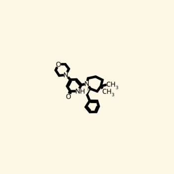 CC1(C)CCCN(c2cc(N3CCOCC3)cc(=O)[nH]2)[C@H](Cc2ccccc2)C1